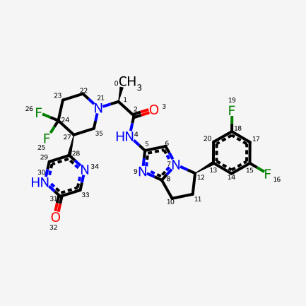 C[C@@H](C(=O)Nc1cn2c(n1)CC[C@@H]2c1cc(F)cc(F)c1)N1CCC(F)(F)[C@H](c2c[nH]c(=O)cn2)C1